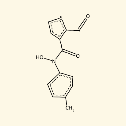 Cc1ccc(N(O)C(=O)c2ccsc2[C]=O)cc1